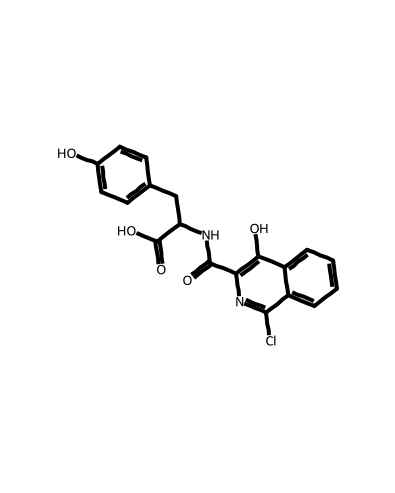 O=C(NC(Cc1ccc(O)cc1)C(=O)O)c1nc(Cl)c2ccccc2c1O